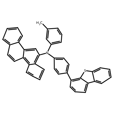 Cc1cccc(N(c2ccc(-c3cccc4c3sc3ccccc34)cc2)c2cc3c4ccccc4ccc3c3ccccc23)c1